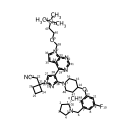 C[C@H]1CCCN1Cc1cc(F)cc(OC2CCN(c3nn(C4(CC#N)CCC4)cc3-c3ncnc4c3ccn4COCC[Si](C)(C)C)CC2)c1